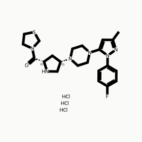 Cc1cc(N2CCN([C@@H]3CN[C@H](C(=O)N4CCSC4)C3)CC2)n(-c2ccc(F)cc2)n1.Cl.Cl.Cl